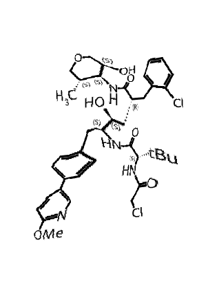 COc1ccc(-c2ccc(C[C@H](NC(=O)[C@@H](NC(=O)CCl)C(C)(C)C)[C@@H](O)C[C@@H](Cc3ccccc3Cl)C(=O)N[C@H]3[C@H](C)COC[C@H]3O)cc2)cn1